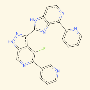 Fc1c(-c2cccnc2)ncc2[nH]nc(-c3nc4c(-c5ccccn5)nccc4[nH]3)c12